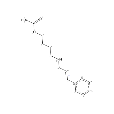 NC(=O)OCCCCNC/C=C/c1ccccc1